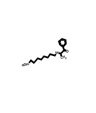 CCCCCCCCCCCCCCCCCC[Se]C(C)C(=O)c1ccccc1